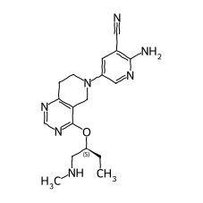 CC[C@@H](CNC)Oc1ncnc2c1CN(c1cnc(N)c(C#N)c1)CC2